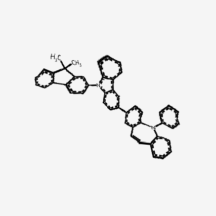 CC1(C)c2ccccc2-c2ccc(-n3c4ccccc4c4cc(-c5ccc6c(c5)C=Cc5ccccc5N6c5ccccc5)ccc43)cc21